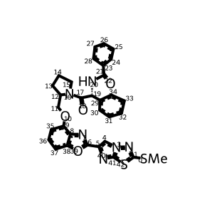 CSc1nn2cc(-c3nc4c(OCC5CCCN5C(=O)[C@H](NC(=O)c5ccccc5)c5ccccc5)cccc4o3)nc2s1